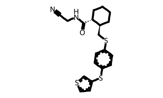 N#CCNC(=O)[C@@H]1CCCC[C@H]1CSc1ccc(Sc2ccsc2)cc1